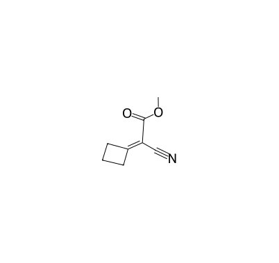 COC(=O)C(C#N)=C1CCC1